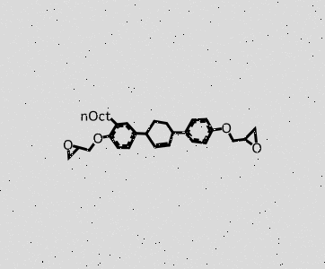 CCCCCCCCc1cc(C2C=CC(c3ccc(OCC4CO4)cc3)CC2)ccc1OCC1CO1